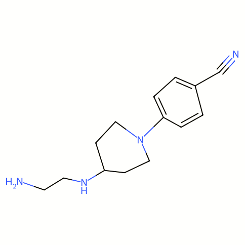 N#Cc1ccc(N2CCC(NCCN)CC2)cc1